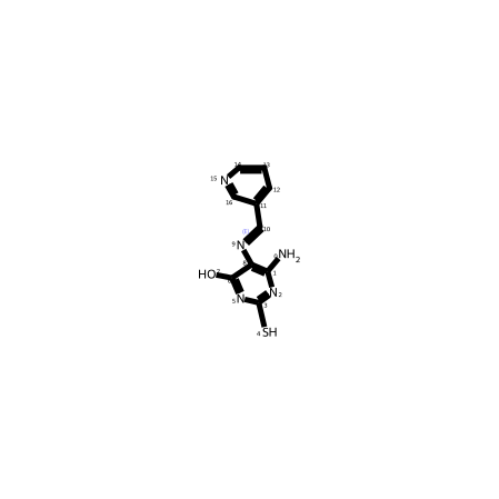 Nc1nc(S)nc(O)c1/N=C/c1cccnc1